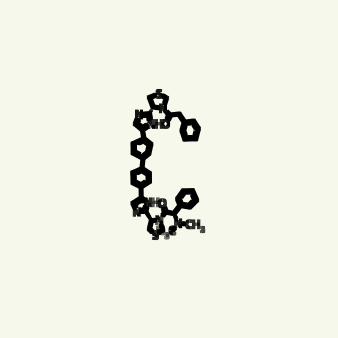 CN(C)[C@@H](C(=O)N1CSC[C@H]1c1ncc(-c2ccc(-c3ccc(-c4cnc([C@@H]5CSCN5C(=O)Cc5ccccc5)[nH]4)cc3)cc2)[nH]1)c1ccccc1